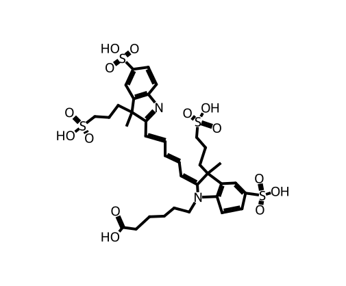 CC1(CCCS(=O)(=O)O)C(/C=C/C=C/C=C2/N(CCCCCC(=O)O)c3ccc(S(=O)(=O)O)cc3C2(C)CCCS(=O)(=O)O)=Nc2ccc(S(=O)(=O)O)cc21